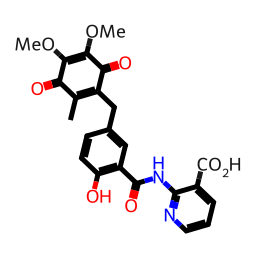 COC1=C(OC)C(=O)C(Cc2ccc(O)c(C(=O)Nc3ncccc3C(=O)O)c2)=C(C)C1=O